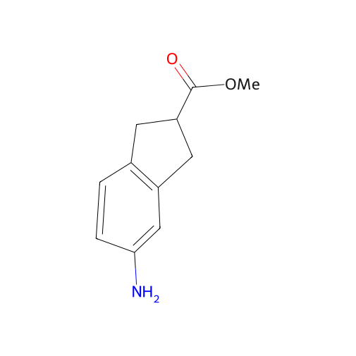 COC(=O)C1Cc2ccc(N)cc2C1